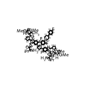 CC[C@](NC(=O)OC)(OC)C(=O)N1CCCC1c1nc2cc([C@H]3CC[C@H](c4cc5c(cc4F)nc(C4CCCN4C(=O)[C@@H](NC(=O)OC)[C@@H](C)OC)n5COC(=O)C(N)C(C)C)N3c3cc(F)c(N4CCC(c5ccc(F)cc5)CC4)c(F)c3)c(F)cc2n1COC(=O)C(N)C(C)C